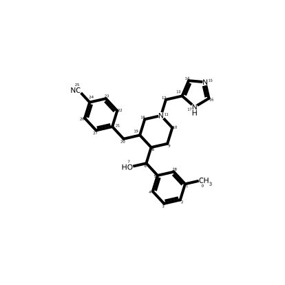 Cc1cccc(C(O)C2CCN(Cc3cnc[nH]3)CC2Cc2ccc(C#N)cc2)c1